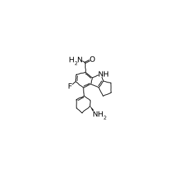 NC(=O)c1cc(F)c(C2=CCC[C@H](N)C2)c2c3c([nH]c12)CCC3